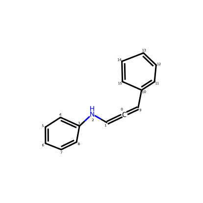 C(=CNc1ccccc1)=Cc1ccccc1